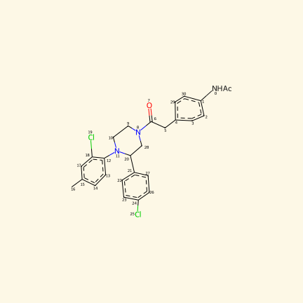 CC(=O)Nc1ccc(CC(=O)N2CCN(c3ccc(C)cc3Cl)C(c3ccc(Cl)cc3)C2)cc1